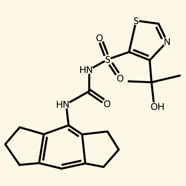 CC(C)(O)c1ncsc1S(=O)(=O)NC(=O)Nc1c2c(cc3c1CCC3)CCC2